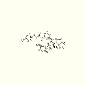 CN1CCN(CCC(=O)Nc2cc(NC(/C=C(\N)c3cc(Cl)ccc3F)=C(/N)C3CCC(=O)N3C)ccn2)CC1